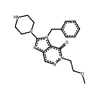 COCCn1ncc2nc(N3CCNCC3)n(Cc3ccccc3)c2c1=O